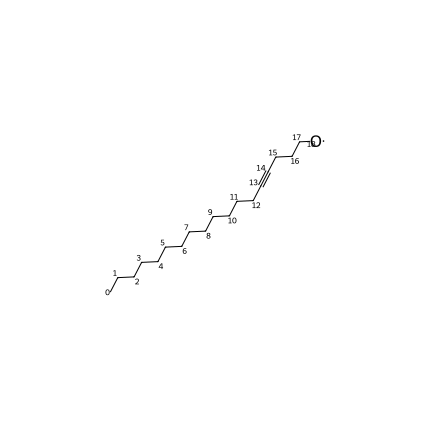 CCCCCCCCCCCCCC#CCCC[O]